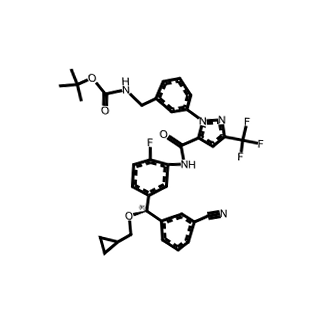 CC(C)(C)OC(=O)NCc1cccc(-n2nc(C(F)(F)F)cc2C(=O)Nc2cc([C@H](OCC3CC3)c3cccc(C#N)c3)ccc2F)c1